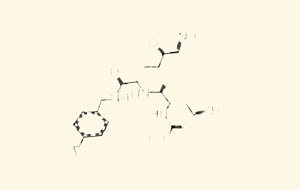 C=CC[C@H](NC(C)=O)C(=O)N[C@@H](CCC(=O)C=N)C(=O)NCc1ccc(F)cc1